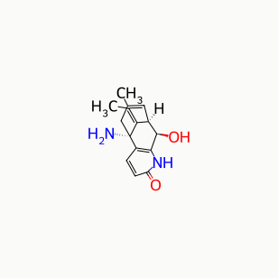 CC=C1[C@H]2C=C(C)C[C@]1(N)c1ccc(=O)[nH]c1[C@@H]2O